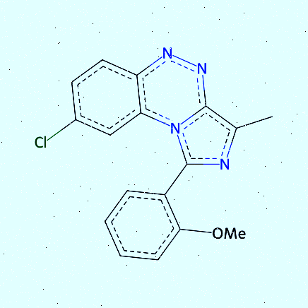 COc1ccccc1-c1nc(C)c2nnc3ccc(Cl)cc3n12